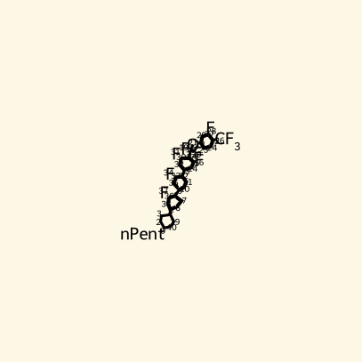 CCCCCC1CCC(c2ccc(-c3ccc(-c4cc(F)c(C(F)(F)Oc5ccc(C(F)(F)F)c(F)c5)c(F)c4)c(F)c3)c(F)c2)CC1